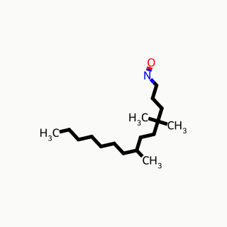 CCCCCCCC(C)CCC(C)(C)CCCN=O